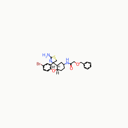 NC1=NC2(CS1)c1cc(Br)ccc1O[C@H]1CCC(NC(=O)COCc3ccccc3)C[C@@H]12